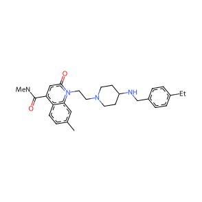 CCc1ccc(CNC2CCN(CCn3c(=O)cc(C(=O)NC)c4ccc(C)cc43)CC2)cc1